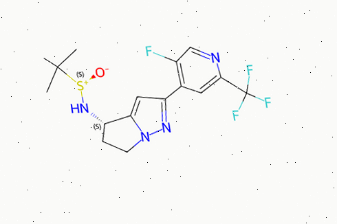 CC(C)(C)[S@@+]([O-])N[C@H]1CCn2nc(-c3cc(C(F)(F)F)ncc3F)cc21